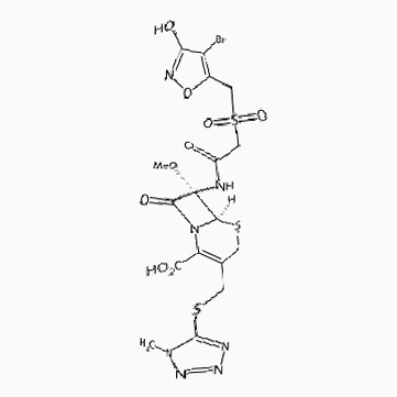 CO[C@@]1(NC(=O)CS(=O)(=O)Cc2onc(O)c2Br)C(=O)N2C(C(=O)O)=C(CSc3nnnn3C)CS[C@@H]21